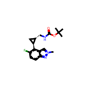 Cn1cc2c([C@H]3C[C@@H]3CNC(=O)OC(C)(C)C)c(F)ccc2n1